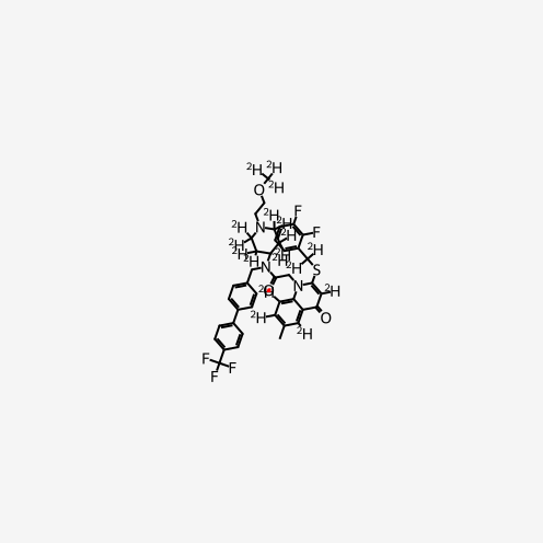 [2H]c1c(C)c([2H])c2c(=O)c([2H])c(SC([2H])([2H])c3cccc(F)c3F)n(CC(=O)N(Cc3ccc(-c4ccc(C(F)(F)F)cc4)cc3)C3([2H])C([2H])([2H])C([2H])([2H])N(CCOC([2H])([2H])[2H])C([2H])([2H])C3([2H])[2H])c2c1[2H]